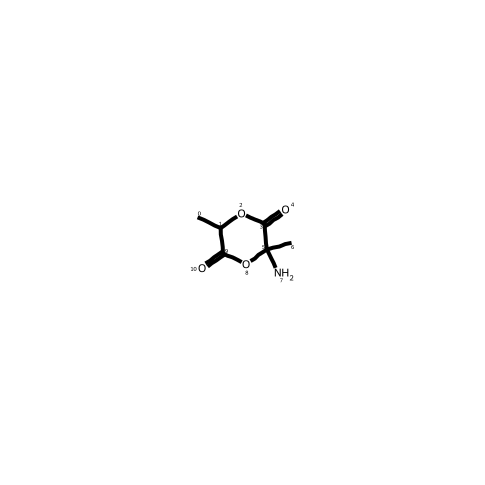 CC1OC(=O)C(C)(N)OC1=O